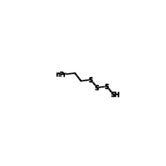 CCCCCSSSS